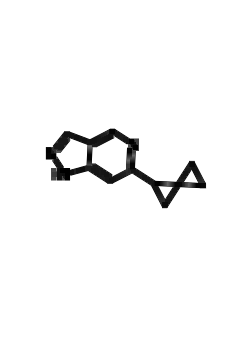 c1n[nH]c2cc(C3CC34CC4)ncc12